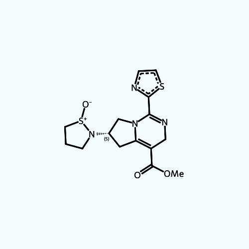 COC(=O)C1=C2C[C@H](N3CCC[S+]3[O-])CN2C(c2nccs2)=NC1